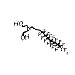 OCCN(CCO)CCCC(F)(F)C(F)(F)C(F)(F)C(F)(F)C(F)(F)C(F)(F)C(F)(F)C(F)(F)F